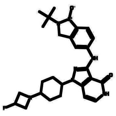 CC(C)(C)N1Cc2cc(Nc3nn(C4CCC(N5CC(F)C5)CC4)c4cc[nH]c(=O)c34)ccc2[S+]1[O-]